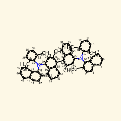 CCC(C)c1ccc2ccccc2c1N(c1c(C)cccc1C)c1cc(C)c(-c2c(C)cc(N(c3c(C)cccc3C)c3c(C(C)CC)ccc4ccccc34)c3ccccc23)c2ccccc12